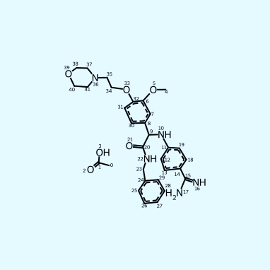 CC(=O)O.COc1cc(C(Nc2ccc(C(=N)N)cc2)C(=O)NCc2ccccc2)ccc1OCCN1CCOCC1